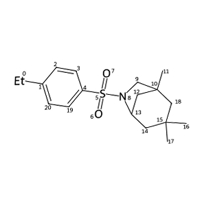 CCc1ccc(S(=O)(=O)N2CC3(C)CC2CC(C)(C)C3)cc1